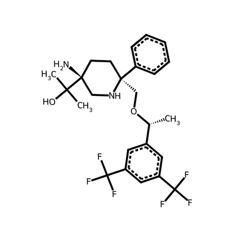 C[C@@H](OC[C@@]1(c2ccccc2)CC[C@@](N)(C(C)(C)O)CN1)c1cc(C(F)(F)F)cc(C(F)(F)F)c1